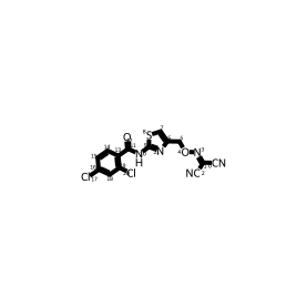 N#CC(C#N)=NOCc1csc(NC(=O)c2ccc(Cl)cc2Cl)n1